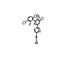 O=c1cc(-c2ccc(C#CC3CC3)nc2)nc(-c2c(C(F)(F)F)ccc(Cl)c2F)[nH]1